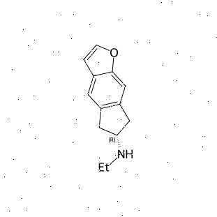 CCN[C@@H]1Cc2cc3ccoc3cc2C1